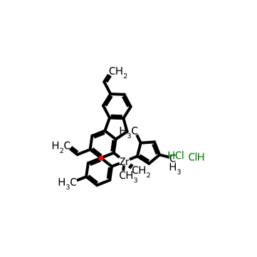 C=Cc1ccc2c(c1)-c1cc(C=C)c[c]([Zr](=[CH2])([CH3])([C]3=CC(C)=CC3C)[c]3ccc(C)cc3)c1C2.Cl.Cl